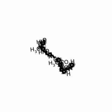 Cc1c(OCCCc2ccc(CC(=O)Nc3ccc4c(C5CCC(=O)NC5=O)nn(C)c4c3)cn2)cccc1-c1ccc(N2CCc3cccc(C(=O)Nc4nc5ccccc5s4)c3C2)nc1C(=O)O